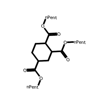 CCCCCOC(=O)C1CCC(C(=O)OCCCCC)C(C(=O)OCCCCC)C1